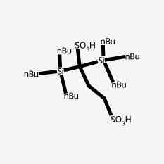 CCCC[Si](CCCC)(CCCC)C(CCS(=O)(=O)O)([Si](CCCC)(CCCC)CCCC)S(=O)(=O)O